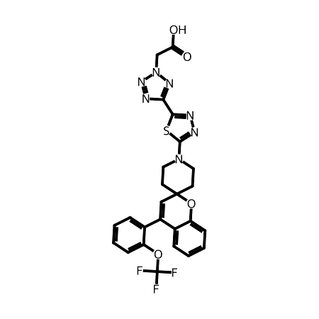 O=C(O)Cn1nnc(-c2nnc(N3CCC4(C=C(c5ccccc5OC(F)(F)F)c5ccccc5O4)CC3)s2)n1